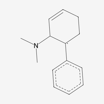 CN(C)C1C=CCC[C]1c1ccccc1